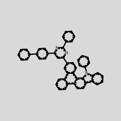 c1ccc(-c2ccc(-c3cc(-c4ccc5c(c4)c4ccccc4c4ccc6c7ccccc7n(-c7ccccc7)c6c45)nc(-c4ccccc4)n3)cc2)cc1